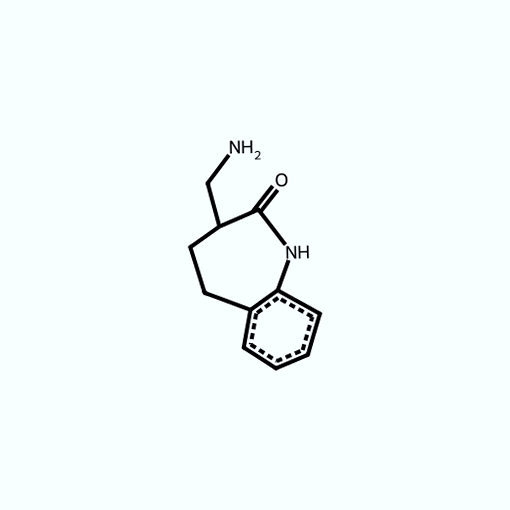 NCC1CCc2ccccc2NC1=O